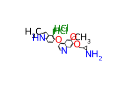 COc1cc2c(Oc3ccc4[nH]c(C)cc4c3F)ccnc2cc1OCC1CC1N.Cl.Cl